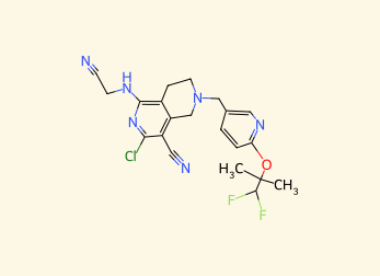 CC(C)(Oc1ccc(CN2CCc3c(NCC#N)nc(Cl)c(C#N)c3C2)cn1)C(F)F